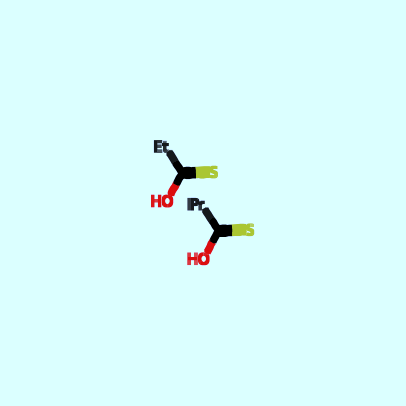 CC(C)C(O)=S.CCC(O)=S